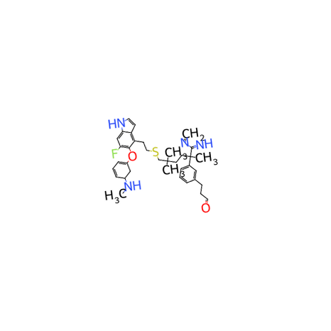 C=NC(=N)C(C)(CCC(C)(C)CSCCc1c(OC2=CC=CC(NC)C2)c(F)cc2[nH]ccc12)c1cccc(CCC=O)c1